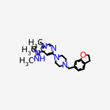 CNN(C)C/C=C(\N=C/N(C)C)N1CCN(Cc2ccc3c(c2)OCC3)CC1